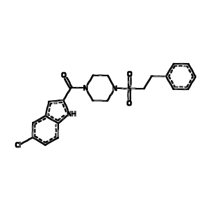 O=C(c1cc2cc(Cl)ccc2[nH]1)N1CCN(S(=O)(=O)CCc2ccccc2)CC1